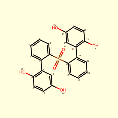 O=S(=O)(c1ccccc1-c1cc(O)ccc1O)c1ccccc1-c1cc(O)ccc1O